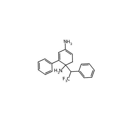 NC1=CCC(N)(C(c2ccccc2)C(F)(F)F)C(c2ccccc2)=C1